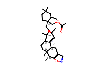 CC(=O)/C=C1/[C@@]2(C)Cc3cnoc3[C@@H](C)[C@@H]2CC[C@@]1(C)C(C)(C)CC[C@@]1(COC(C)=O)CCC(C)(C)CC1C